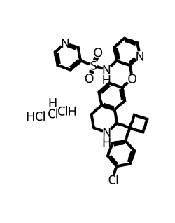 Cl.Cl.Cl.O=S(=O)(Nc1cccnc1Oc1ccc2c(c1)C(C1(c3ccc(Cl)cc3)CCC1)NCC2)c1cccnc1